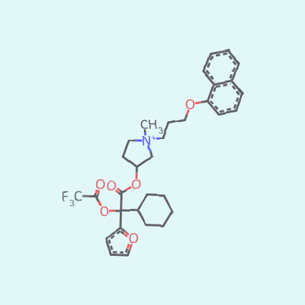 C[N+]1(CCCOc2cccc3ccccc23)CCC(OC(=O)C(OC(=O)C(F)(F)F)(c2ccco2)C2CCCCC2)C1